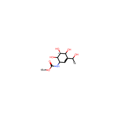 [3H]C(O)C1=CC(NC(=O)OC(C)(C)C)C(O)[C@@H](O)C1O